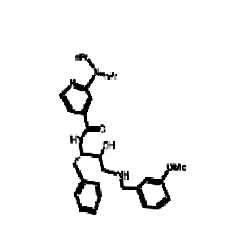 CCCN(CCC)c1cc(C(=O)N[C@@H](Cc2ccccc2)[C@@H](O)CNCc2cccc(OC)c2)ccn1